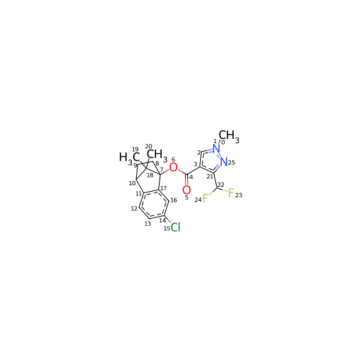 Cn1cc(C(=O)OC23CCC(c4ccc(Cl)cc42)C3(C)C)c(C(F)F)n1